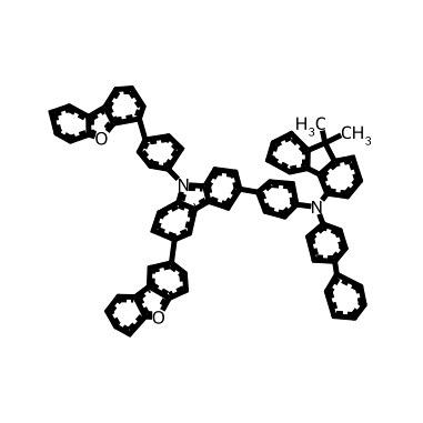 CC1(C)c2ccccc2-c2c(N(c3ccc(-c4ccccc4)cc3)c3ccc(-c4ccc5c(c4)c4cc(-c6ccc7oc8ccccc8c7c6)ccc4n5-c4ccc(-c5cccc6c5oc5ccccc56)cc4)cc3)cccc21